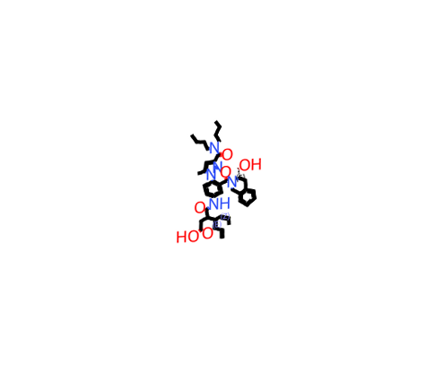 C=C/C=C(\C=C/C)C(CC(=O)O)C(=O)Nc1ccc(-n2nc(C(=O)N(CCCC)CCCC)cc2C)c(C(=O)N2Cc3ccccc3C[C@H]2CO)c1